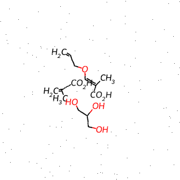 C=C(C)C(=O)O.C=CCOC=C(C)C(=O)O.OCC(O)CO